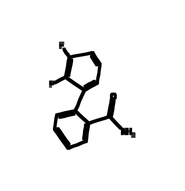 NC(=O)c1ccccc1-c1cccc(F)c1F